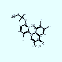 CCOC(=O)c1cn(-c2nc(NC(C)(C)CC(C)(C)C)ccc2F)c2c(Cl)c(F)c(F)cc2c1=O